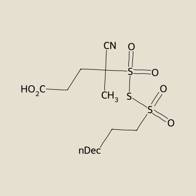 CCCCCCCCCCCCS(=O)(=O)SS(=O)(=O)C(C)(C#N)CCC(=O)O